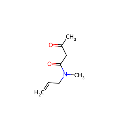 C=CCN(C)C(=O)CC(C)=O